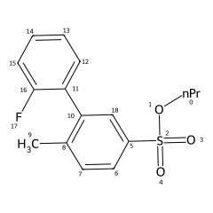 CCCOS(=O)(=O)c1ccc(C)c(-c2ccccc2F)c1